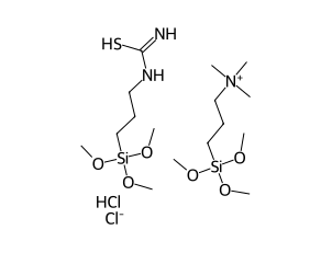 CO[Si](CCCNC(=N)S)(OC)OC.CO[Si](CCC[N+](C)(C)C)(OC)OC.Cl.[Cl-]